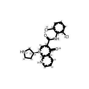 O=C(Nc1c(Cl)cccc1Cl)c1cn([C@H]2CCNC2)c2ncccc2c1=O